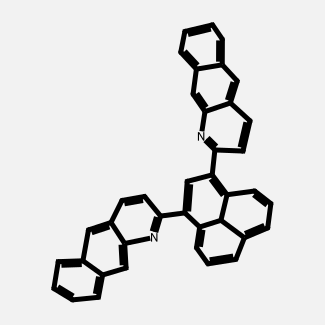 C1=CC2=CC=CC3=C(c4ccc5cc6ccccc6cc5n4)C=C(c4ccc5cc6ccccc6cc5n4)C(=C1)C23